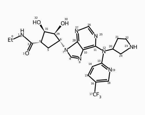 CCNC(=O)[C@H]1C[C@@H](n2cnc3c(N(c4ccc(C(F)(F)F)cn4)C4CCNC4)ncnc32)[C@H](O)[C@@H]1O